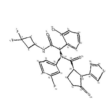 O=C(NC1CC(F)(F)C1)[C@@H](c1ccccc1Cl)N(C(=O)[C@@H]1CCC(=O)N1c1cscn1)c1cccc(F)c1